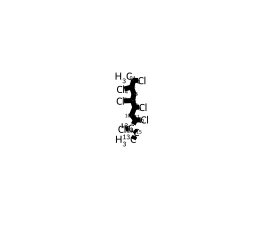 CC(Cl)C(Cl)CC(Cl)C(Cl)CC(Cl)[13CH](Cl)[13CH2][13CH3]